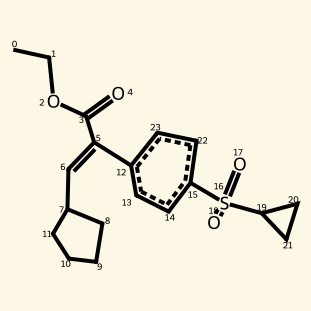 CCOC(=O)/C(=C/C1CCCC1)c1ccc(S(=O)(=O)C2CC2)cc1